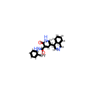 CC(C)c1ccccc1NC(=O)c1cc(-c2cncc3ccccc23)c[nH]c1=O